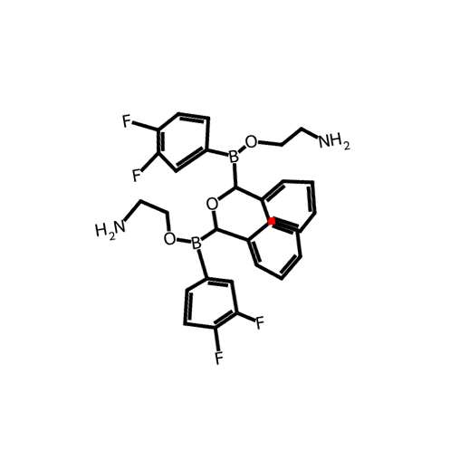 NCCOB(c1ccc(F)c(F)c1)C(OC(B(OCCN)c1ccc(F)c(F)c1)c1ccccc1)c1ccccc1